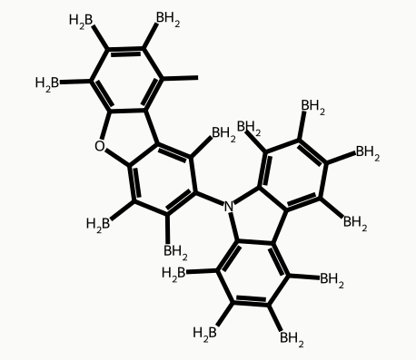 Bc1c(-n2c3c(B)c(B)c(B)c(B)c3c3c(B)c(B)c(B)c(B)c32)c(B)c2c(oc3c(B)c(B)c(B)c(C)c32)c1B